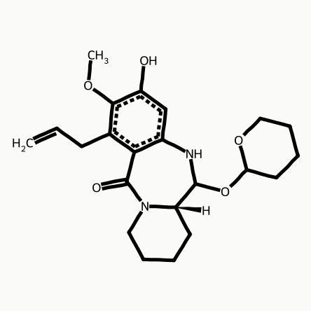 C=CCc1c(OC)c(O)cc2c1C(=O)N1CCCC[C@H]1C(OC1CCCCO1)N2